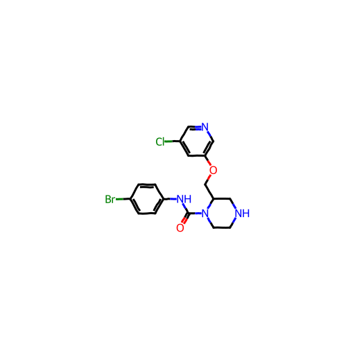 O=C(Nc1ccc(Br)cc1)N1CCNCC1COc1cncc(Cl)c1